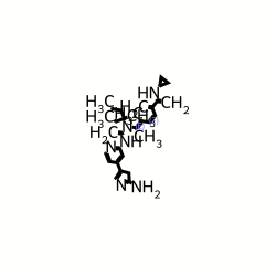 C=C(/C=C\C(C)=C(/C)N(C(=C)Nc1cc(C2=CN=C(N)C2)ccn1)C(C)(CC)CCC)C(=C)NC1CC1